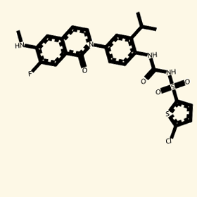 CNc1cc2ccn(-c3ccc(NC(=O)NS(=O)(=O)c4ccc(Cl)s4)c(C(C)C)c3)c(=O)c2cc1F